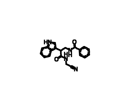 N#CCNC(=O)C(CNC(=O)c1ccccc1)c1c[nH]c2ccccc12